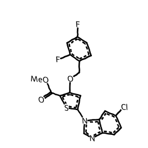 COC(=O)c1sc(-n2cnc3ccc(Cl)cc32)cc1OCc1ccc(F)cc1F